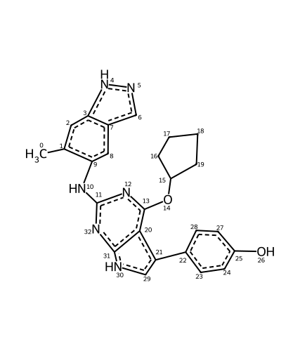 Cc1cc2[nH]ncc2cc1Nc1nc(OC2CCCC2)c2c(-c3ccc(O)cc3)c[nH]c2n1